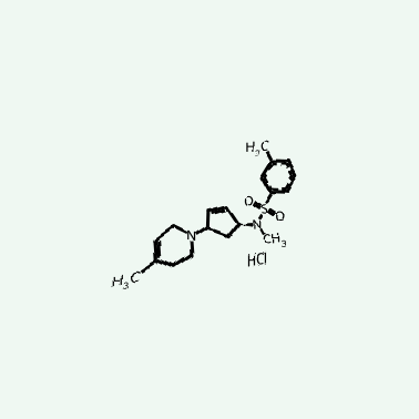 CC1=CCN(C2C=C[C@@H](N(C)S(=O)(=O)c3cccc(C)c3)C2)CC1.Cl